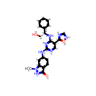 Cn1[nH]c(=O)c2ccc(Nc3ncc(-c4ncno4)c(N[C@H](CO)c4ccccc4)n3)cc21